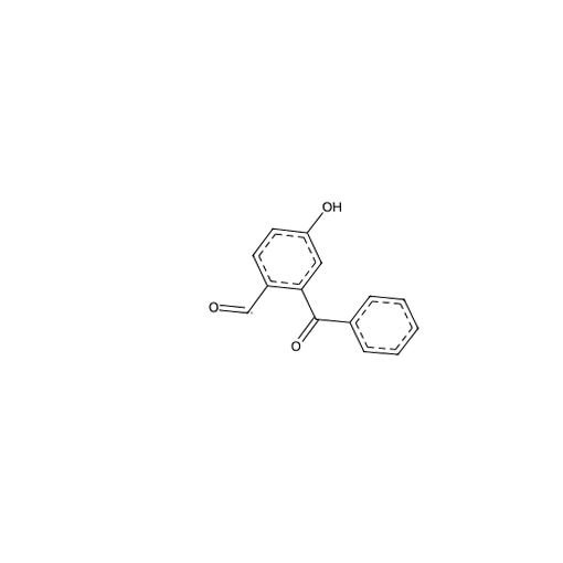 O=[C]c1ccc(O)cc1C(=O)c1ccccc1